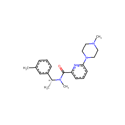 Cc1cccc([C@@H](C)N(C)C(=O)c2cccc(N3CCN(C)CC3)n2)c1